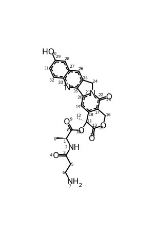 C[C@H](NC(=O)CCN)C(=O)O[C@]1(C)C(=O)OCc2c1cc1n(c2=O)Cc2cc3cc(O)ccc3nc2-1